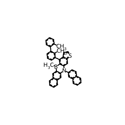 CB1c2cc3ccccc3cc2N(c2ccc3ccccc3c2)c2cc3sccc3c(-c3cccc(-c4ccccc4C)c3C)c21